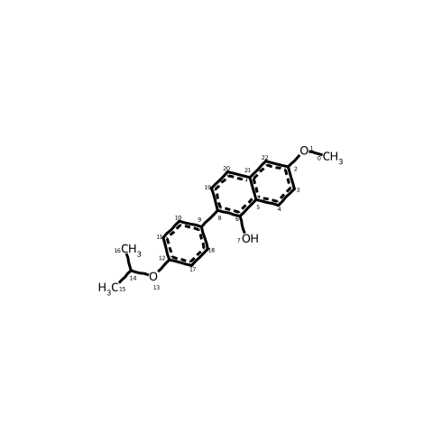 COc1ccc2c(O)c(-c3ccc(OC(C)C)cc3)ccc2c1